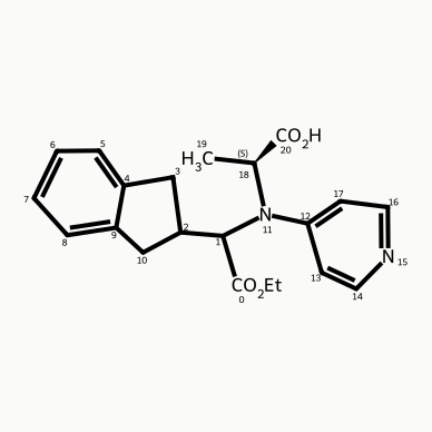 CCOC(=O)C(C1Cc2ccccc2C1)N(c1ccncc1)[C@@H](C)C(=O)O